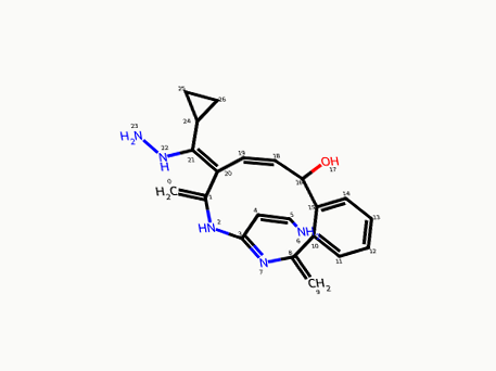 C=C1NC(/C=C\N)=N/C(=C)c2ccccc2C(O)/C=C\C1=C(\NN)C1CC1